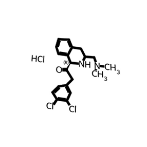 CN(C)CC1Cc2ccccc2[C@H](C(=O)Cc2ccc(Cl)c(Cl)c2)N1.Cl